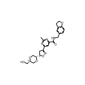 Cc1nc(C(=O)NCc2ccc3c(c2)CCO3)cc(C2=NO[C@H](C3CO[C@H](CO)CO3)C2)n1